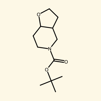 CC(C)(C)OC(=O)N1CCC2OCCC2C1